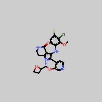 COc1c(Nc2c(-c3ccncc3OCC3CCO3)[nH]c3c2C(=O)NCC3)ccc(F)c1Cl